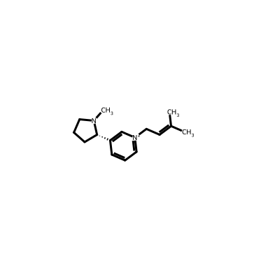 CC(C)=CC[n+]1cccc([C@@H]2CCCN2C)c1